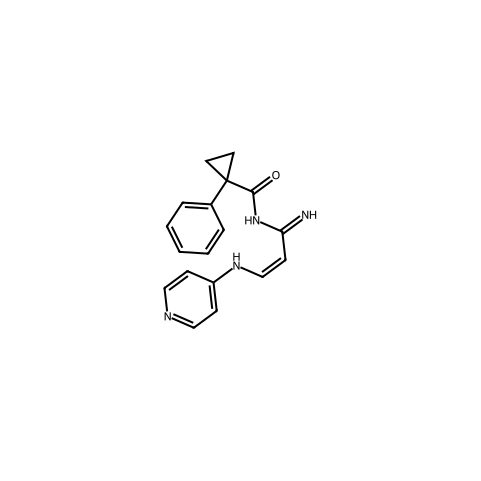 N=C(/C=C\Nc1ccncc1)NC(=O)C1(c2ccccc2)CC1